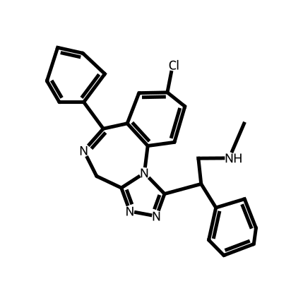 CNCC(c1ccccc1)c1nnc2n1-c1ccc(Cl)cc1C(c1ccccc1)=NC2